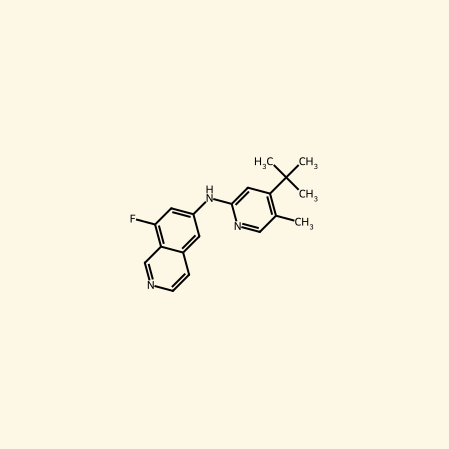 Cc1cnc(Nc2cc(F)c3cnccc3c2)cc1C(C)(C)C